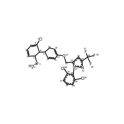 COC1C=CC=C(Cl)C1C1C=CC(OCc2cc(C(F)(F)F)nn2-c2c(Cl)cccc2Cl)=CC1